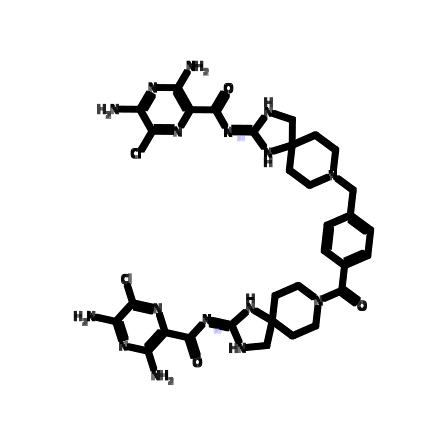 Nc1nc(N)c(C(=O)/N=C2\NCC3(CCN(Cc4ccc(C(=O)N5CCC6(CC5)CN/C(=N\C(=O)c5nc(Cl)c(N)nc5N)N6)cc4)CC3)N2)nc1Cl